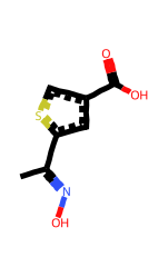 CC(=NO)c1cc(C(=O)O)cs1